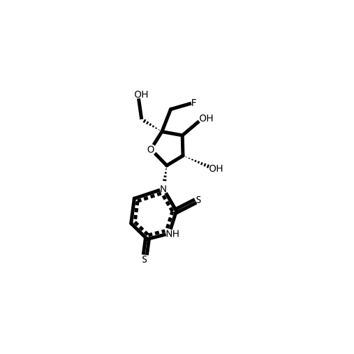 OC[C@@]1(CF)O[C@@H](n2ccc(=S)[nH]c2=S)[C@@H](O)C1O